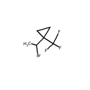 CC(Br)C1(C(F)(F)F)CC1